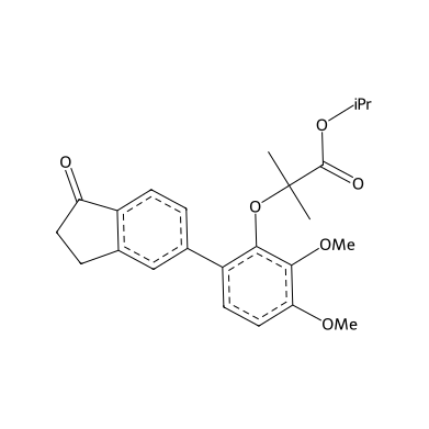 COc1ccc(-c2ccc3c(c2)CCC3=O)c(OC(C)(C)C(=O)OC(C)C)c1OC